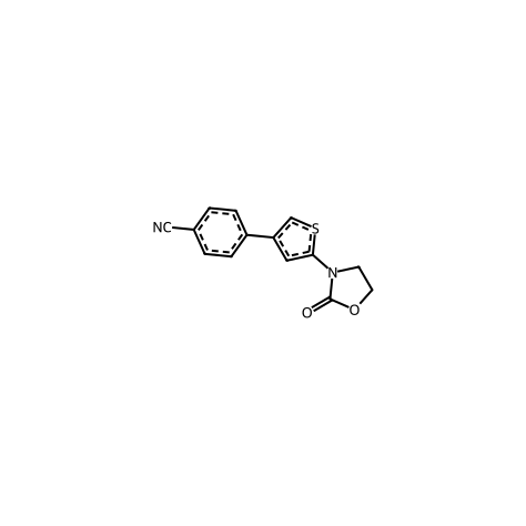 N#Cc1ccc(-c2csc(N3CCOC3=O)c2)cc1